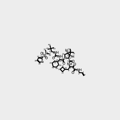 C=CCNC(=O)C(=O)C(CC1CCC1)NC(=O)[C@@H]1[C@@H]2[C@H](CN1C(=O)[C@@H](NC(=O)N[C@H](CN(C)S(=O)(=O)c1cccs1)C(C)(C)C)C1CCCCC1)C2(C)C